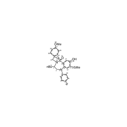 CCCCC1CN(c2ccc(F)cc2)c2cc(SC)c(O)cc2S(=O)(=O)N1Cc1ccc(OC)cc1